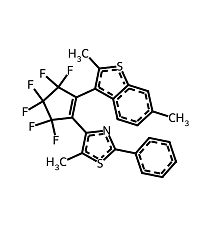 Cc1ccc2c(C3=C(c4nc(-c5ccccc5)sc4C)C(F)(F)C(F)(F)C3(F)F)c(C)sc2c1